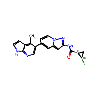 Cc1c(-c2ccn3nc(NC(=O)[C@H]4C[C@H]4F)cc3c2)cnc2[nH]ccc12